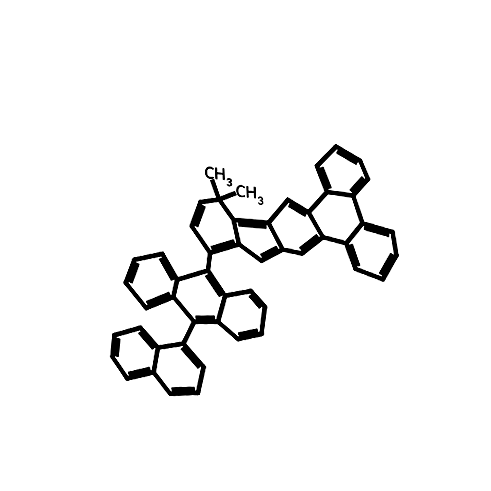 CC1(C)C=CC(c2c3ccccc3c(-c3cccc4ccccc34)c3ccccc23)=C2C=c3cc4c5ccccc5c5ccccc5c4cc3=C21